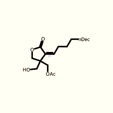 CCCCCCCCCCCCC/C=C1\C(=O)OCC1(CO)COC(C)=O